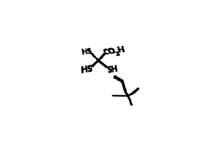 CCC(C)(C)C.O=C(O)C(S)(S)S